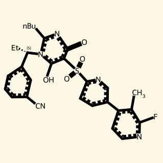 CCCCc1nc(=O)c(S(=O)(=O)c2ccc(-c3ccnc(F)c3C)cn2)c(O)n1[C@@H](CC)c1cccc(C#N)c1